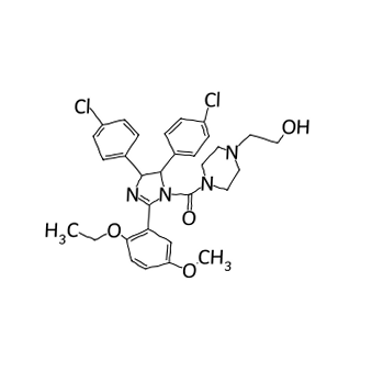 CCOc1ccc(OC)cc1C1=NC(c2ccc(Cl)cc2)C(c2ccc(Cl)cc2)N1C(=O)N1CCN(CCO)CC1